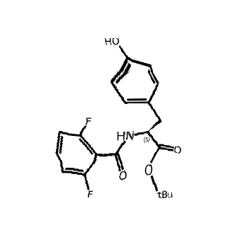 CC(C)(C)OC(=O)[C@H](Cc1ccc(O)cc1)NC(=O)c1c(F)cccc1F